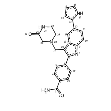 NC(=O)c1ccc(-c2nc3ccc(-c4ccc[nH]4)cn3c2CN2CCNC(=O)C2)cc1